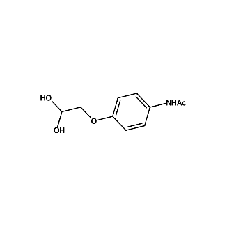 CC(=O)Nc1ccc(OCC(O)O)cc1